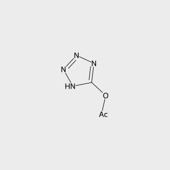 CC(=O)Oc1nnn[nH]1